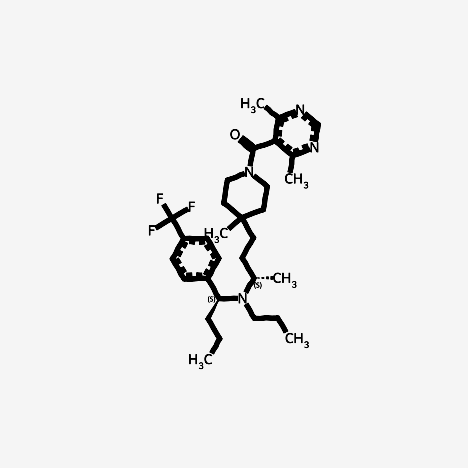 CCC[C@@H](c1ccc(C(F)(F)F)cc1)N(CCC)[C@@H](C)CCC1(C)CCN(C(=O)c2c(C)ncnc2C)CC1